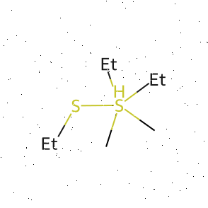 CCS[SH](C)(C)(CC)CC